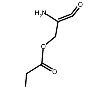 CCC(=O)OCC(N)=C=O